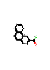 O=C(Cl)C1=CC=c2ccc3c(c2C1)CC=CC=3